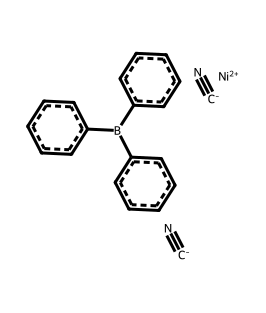 [C-]#N.[C-]#N.[Ni+2].c1ccc(B(c2ccccc2)c2ccccc2)cc1